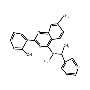 Cc1ccc2c(N(C)C(C)c3cccnc3)nc(-c3ccccc3O)nc2c1